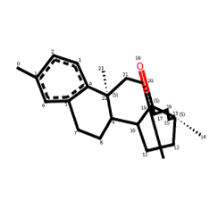 Cc1ccc2c(c1)CCC1C3CC[C@@]4(C)CCC(=O)[C@@]34CC[C@]21C